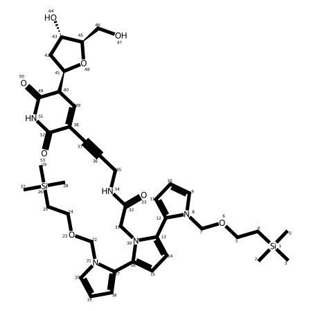 C[Si](C)(C)CCOCn1cccc1-c1ccc(-c2cccn2COCC[Si](C)(C)C)n1CC(=O)NCC#CC1=CC([C@H]2C[C@H](O)[C@@H](CO)O2)C(=O)NC1=O